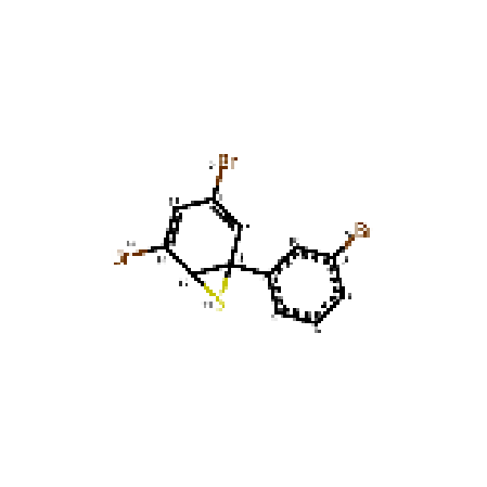 BrC1=CC2(c3cccc(Br)c3)SC2C(Br)=C1